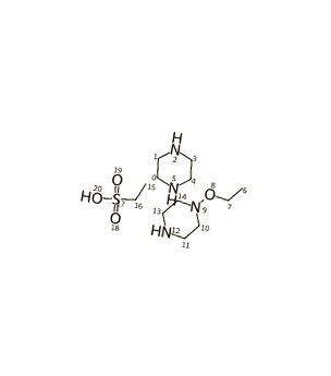 C1CNCCN1.CCON1CCNCC1.CCS(=O)(=O)O